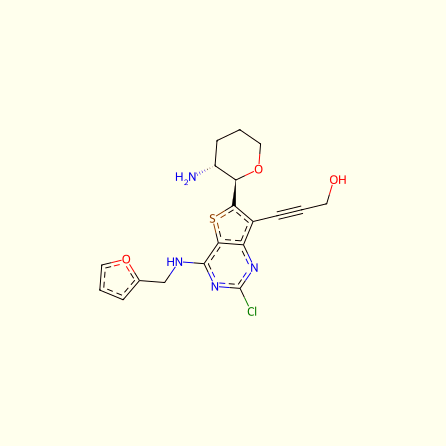 N[C@@H]1CCCO[C@H]1c1sc2c(NCc3ccco3)nc(Cl)nc2c1C#CCO